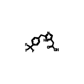 O=C(O)Cc1cnc(Cc2ccc(C(F)(F)F)cc2)[nH]1